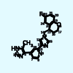 Cc1[nH]nnc1-c1ccnc(-c2cn(C[C@@H]3CCOc4ccc(F)cc43)cn2)c1